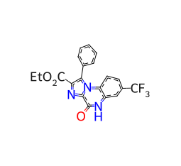 CCOC(=O)c1nc2c(=O)[nH]c3cc(C(F)(F)F)ccc3n2c1-c1ccccc1